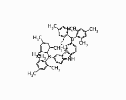 CC1=CC(C)C(B(c2ccc3[nH]c4ccc(B(c5c(C)cc(C)cc5C)c5c(C)cc(C)cc5C)cc4c3c2)c2c(C)cc(C)cc2C)C(C)=C1